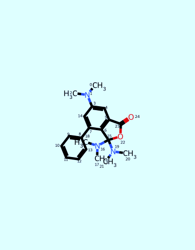 CN(C)c1cc2c(c(-c3ccccc3)c1)C(N(C)C)(N(C)C)OC2=O